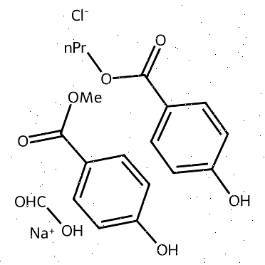 CCCOC(=O)c1ccc(O)cc1.COC(=O)c1ccc(O)cc1.O=CO.[Cl-].[Na+]